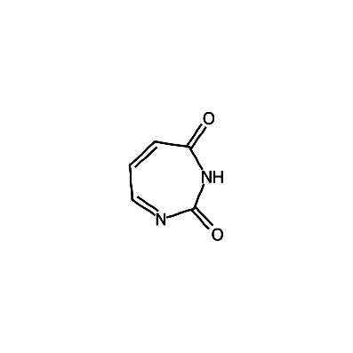 O=c1cccnc(=O)[nH]1